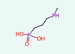 CPCCCP(=O)(O)O